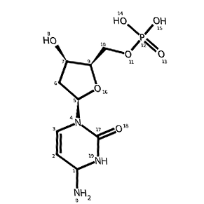 NC1C=CN([C@H]2C[C@@H](O)[C@@H](COP(=O)(O)O)O2)C(=O)N1